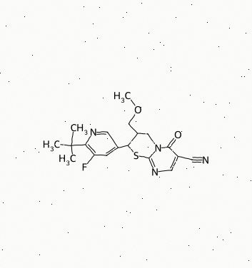 COCC1Cn2c(ncc(C#N)c2=O)SC1c1cnc(C(C)(C)C)c(F)c1